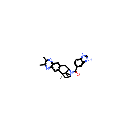 Cc1nc2cc3c(cc2nc1C)[C@]1(C)CCN(C(=O)c2ccc4nc[nH]c4c2)C(C3)C1(C)C